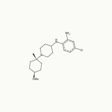 CO[C@H]1CC[C@](C)(N2CCC(Nc3ccc(Cl)cc3N)CC2)CC1